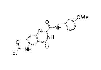 CCC(=O)Nc1ccc2nc(C(=O)NCc3cccc(OC)c3)[nH]c(=O)c2c1